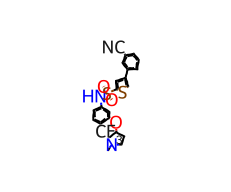 CN1CCC(Oc2cc(NS(=O)(=O)c3cc(-c4cccc(C#N)c4)cs3)ccc2C(F)(F)F)C1